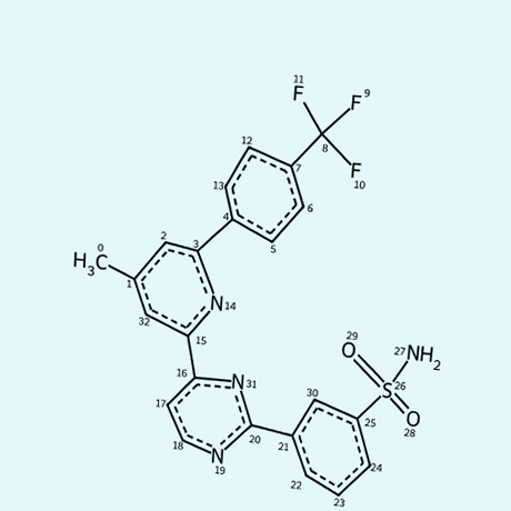 Cc1cc(-c2ccc(C(F)(F)F)cc2)nc(-c2ccnc(-c3cccc(S(N)(=O)=O)c3)n2)c1